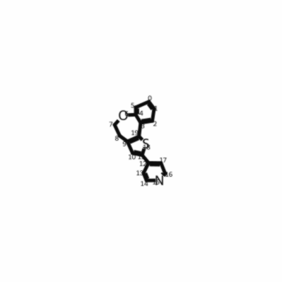 c1ccc2c(c1)OCCc1cc(-c3ccncc3)sc1-2